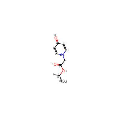 C[C@@H](OC(=O)Cn1ccc(=O)cc1)C(C)(C)C